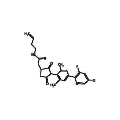 C=CCCNC(=O)CC1CC(=O)C(c2c(C)cc(-c3ncc(Cl)cc3F)cc2C)C1=O